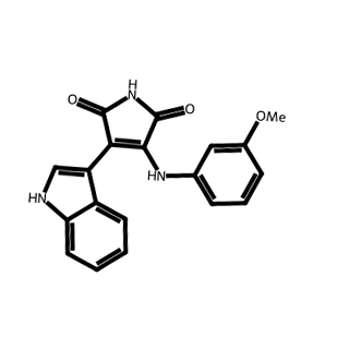 COc1cccc(NC2=C(c3c[nH]c4ccccc34)C(=O)NC2=O)c1